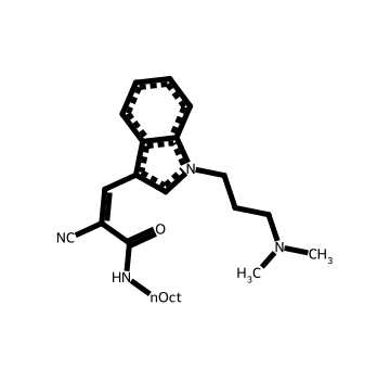 CCCCCCCCNC(=O)C(C#N)=Cc1cn(CCCN(C)C)c2ccccc12